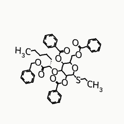 CCCCC[C@H](OC1C(OC(=O)c2ccccc2)[C@H](SCC)OC(COC(=O)c2ccccc2)[C@@H]1OC(=O)c1ccccc1)C(=O)OCc1ccccc1